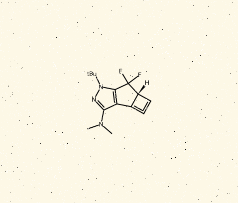 CN(C)c1nn(C(C)(C)C)c2c1C1=C=C[C@H]1C2(F)F